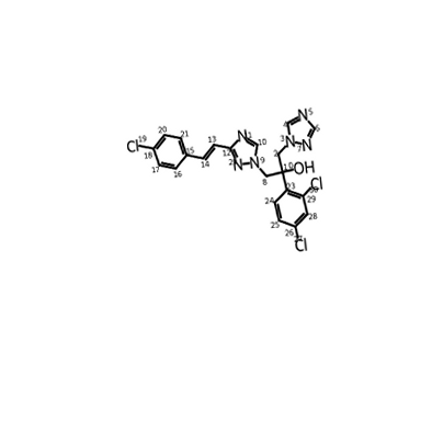 OC(Cn1cncn1)(Cn1cnc(/C=C/c2ccc(Cl)cc2)n1)c1ccc(Cl)cc1Cl